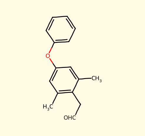 Cc1cc(Oc2ccccc2)cc(C)c1CC=O